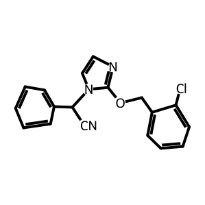 N#CC(c1ccccc1)n1ccnc1OCc1ccccc1Cl